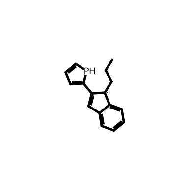 CCC[C]1C(c2ccc[pH]2)=Cc2ccccc21